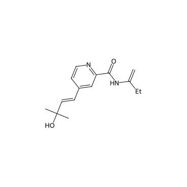 C=C(CC)NC(=O)c1cc(/C=C/C(C)(C)O)ccn1